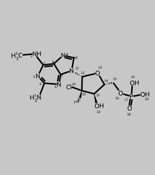 CNc1nc(N)nc2c1ncn2[C@@H]1O[C@H](COP(=O)(O)O)[C@@H](O)[C@]1(F)Cl